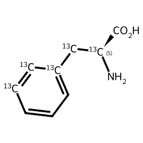 N[13C@@H]([13CH2][13c]1ccc[13cH][13cH]1)[13C](=O)O